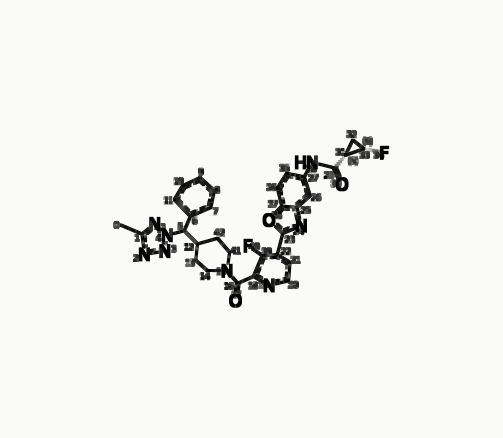 Cc1nnn(C(c2ccccc2)C2CCN(C(=O)c3nccc(-c4nc5cc(NC(=O)[C@@H]6C[C@@H]6F)ccc5o4)c3F)CC2)n1